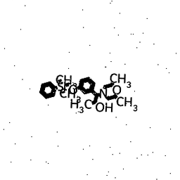 CC1CN(C(c2cccc(OC[Si](C)(C)c3ccccc3)c2)C(C)O)CC(C)O1